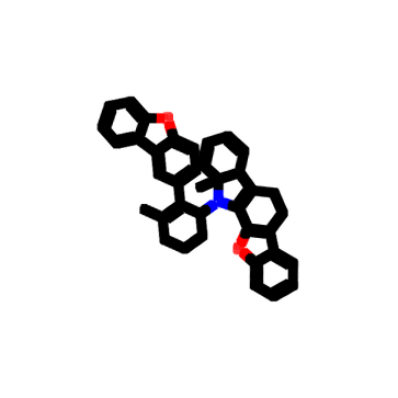 CC1=C(c2ccc3oc4ccccc4c3c2)C(N2C3=C(CCc4c3oc3ccccc43)C3C=CC=CC32C)CCC1